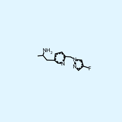 CC(N)Cc1ccc(Cn2cc(F)cn2)nc1